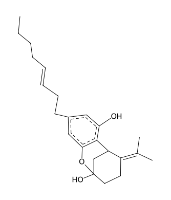 CCCCC=CCCc1cc(O)c2c(c1)OC1(O)CCC(=C(C)C)C2C1